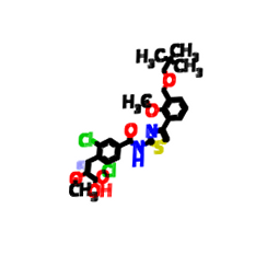 CO/C(=C/c1c(Cl)cc(C(=O)Nc2nc(-c3cccc(COCC(C)(C)C)c3OC)cs2)cc1Cl)C(=O)O